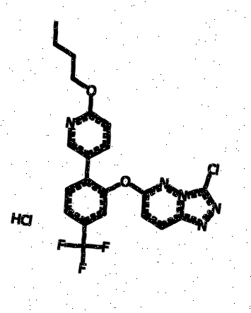 CCCCOc1ccc(-c2ccc(C(F)(F)F)cc2Oc2ccc3nnc(Cl)n3n2)cn1.Cl